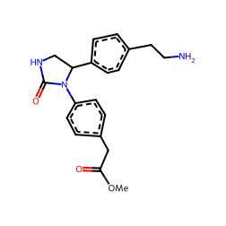 COC(=O)Cc1ccc(N2C(=O)NCC2c2ccc(CCN)cc2)cc1